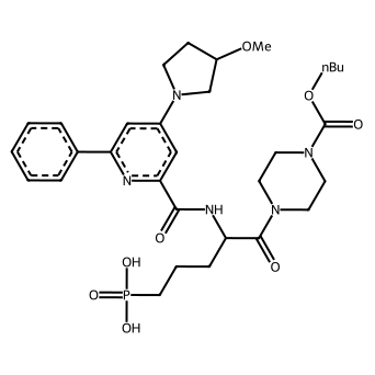 CCCCOC(=O)N1CCN(C(=O)C(CCCP(=O)(O)O)NC(=O)c2cc(N3CCC(OC)C3)cc(-c3ccccc3)n2)CC1